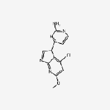 COc1cc(Cl)c2c(n1)N=CC2c1ccnc(N)n1